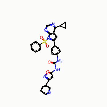 O=C(Nc1ccc(-c2cc3c(C4CC4)ncnc3n2S(=O)(=O)c2ccccc2)cc1)Nc1cc(-c2cccnc2)no1